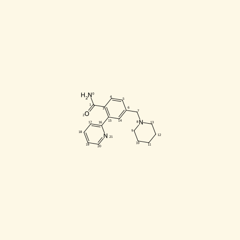 NC(=O)c1ccc(CN2CCCCC2)cc1-c1ccccn1